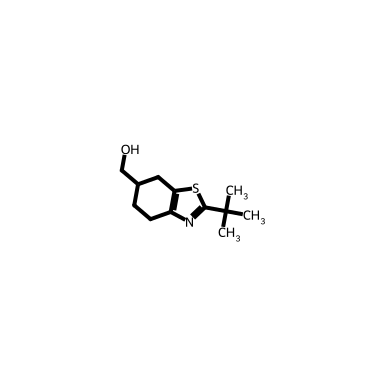 CC(C)(C)c1nc2c(s1)CC(CO)CC2